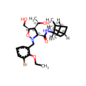 CCOc1c(Br)cccc1CN1O[C@@H](CO)[C@@H]([C@H](C)O)[C@H]1C(=O)N[C@H]1C[C@H]2C[C@@H]([C@@H]1C)C2(C)C